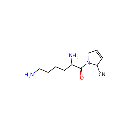 N#CC1C=CCN1C(=O)C(N)CCCCN